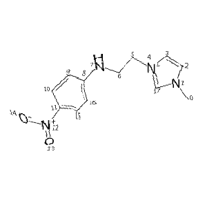 Cn1cc[n+](CCNc2ccc([N+](=O)[O-])cc2)c1